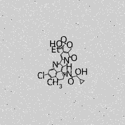 CC[C@@]1(O)C(=O)OCc2c1cc1n(c2=O)Cc2c-1nc1cc(Cl)c(C)c3c1c2[C@H](NC(=O)C(O)C1CC1)CC3